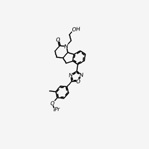 Cc1cc(-c2nc(-c3cccc4c3CC3CCC(=O)N(CCO)C43)no2)ccc1OC(C)C